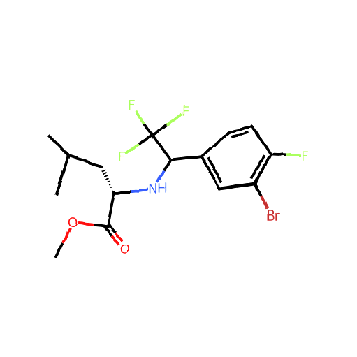 COC(=O)[C@H](CC(C)C)NC(c1ccc(F)c(Br)c1)C(F)(F)F